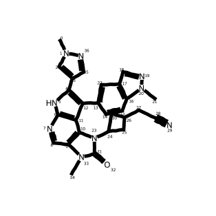 Cn1cc(-c2[nH]c3ncc4c(c3c2-c2ccc3c(cnn3C)c2)n(C2CC(CC#N)C2)c(=O)n4C)cn1